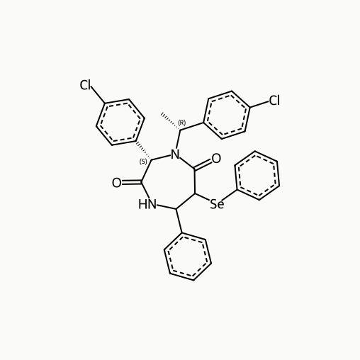 C[C@H](c1ccc(Cl)cc1)N1C(=O)C([Se]c2ccccc2)C(c2ccccc2)NC(=O)[C@@H]1c1ccc(Cl)cc1